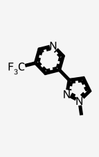 Cn1ccc(-c2cncc(C(F)(F)F)c2)n1